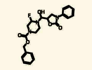 O=C(OCc1ccccc1)N1CCN(C(O)C2CN(c3ccccc3)C(=O)O2)C(F)C1